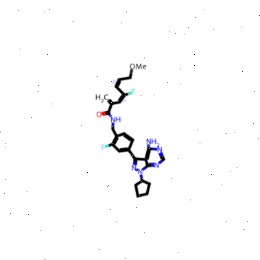 C=C(/C=C(F)\C=C/COC)C(=O)NCc1ccc(-c2nn(C3CCCC3)c3ncnc(N)c23)cc1F